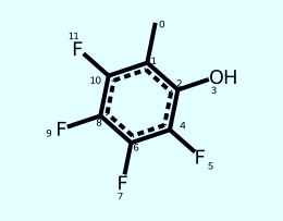 Cc1c(O)c(F)c(F)c(F)c1F